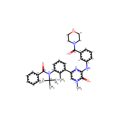 Cc1c(-c2cn(C)c(=O)c(Nc3cccc(C(=O)N4CCOCC4)c3)n2)cccc1N(C(=O)c1ccccc1)C(C)(C)C